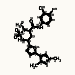 Cc1nn(C)cc1-c1ccc(C2CC(C(=O)Nc3ccc(F)c(Cl)c3)N(C)S(=O)(=O)N2)s1